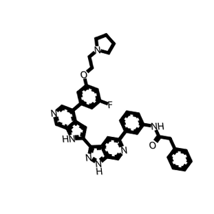 O=C(Cc1ccccc1)Nc1cccc(-c2cc3c(-c4cc5c(-c6cc(F)cc(OCCN7CCCC7)c6)cncc5[nH]4)n[nH]c3cn2)c1